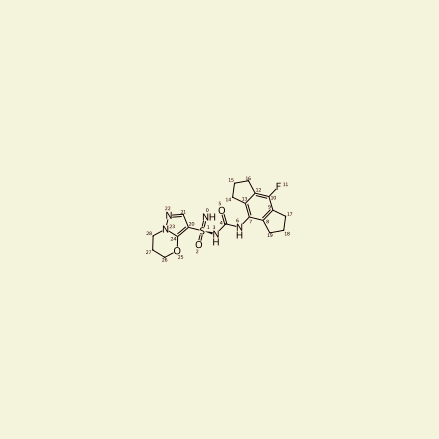 N=[S@@](=O)(NC(=O)Nc1c2c(c(F)c3c1CCC3)CCC2)c1cnn2c1OCCC2